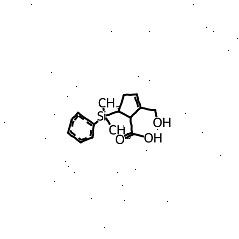 C[Si](C)(c1ccccc1)C1CC=C(CO)C1C(=O)O